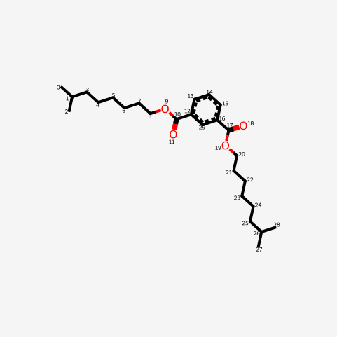 CC(C)CCCCCCOC(=O)c1cccc(C(=O)OCCCCCCC(C)C)c1